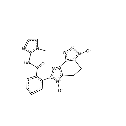 Cn1ccnc1NC(=O)c1ccccc1-n1nc2c([n+]1[O-])CCc1c-2no[n+]1[O-]